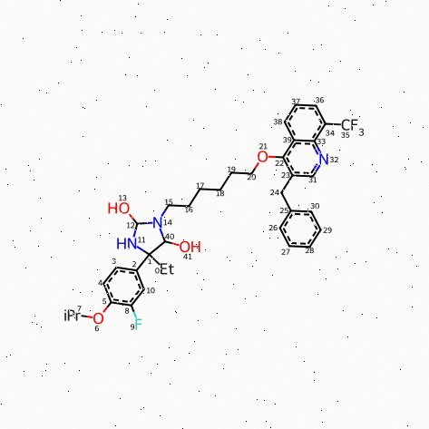 CCC1(c2ccc(OC(C)C)c(F)c2)NC(O)N(CCCCCCOc2c(Cc3ccccc3)cnc3c(C(F)(F)F)cccc23)C1O